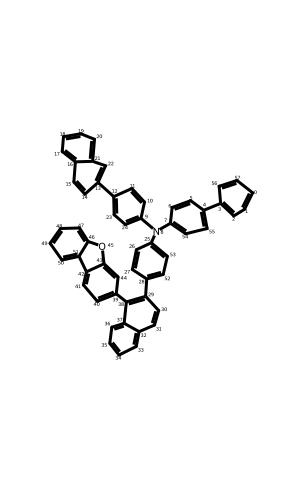 c1ccc(-c2ccc(N(c3ccc(-c4ccc5ccccc5c4)cc3)c3ccc(-c4ccc5ccccc5c4-c4ccc5c(c4)oc4ccccc45)cc3)cc2)cc1